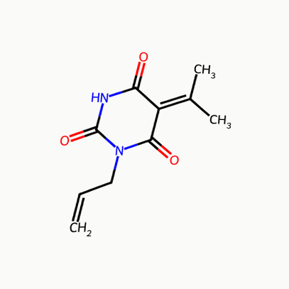 C=CCN1C(=O)NC(=O)C(=C(C)C)C1=O